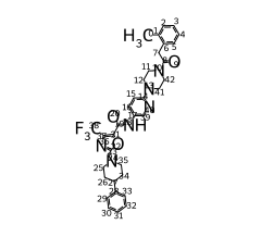 Cc1ccccc1CC(=O)N1CCN(c2ccc(NC(=O)c3oc(N4CCC(c5ccccc5)CC4)nc3C(F)(F)F)cn2)CC1